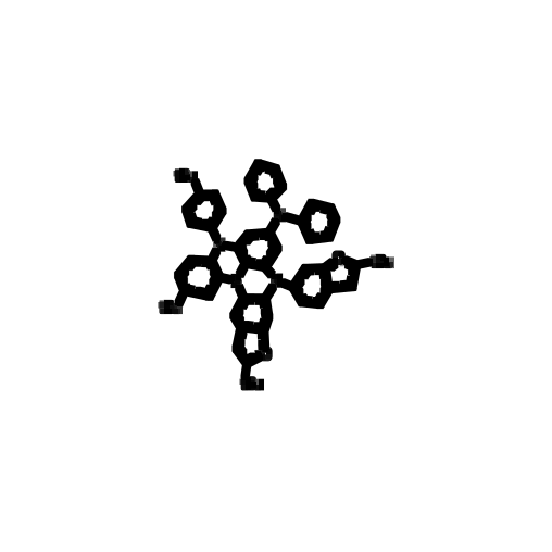 CC(C)(C)c1ccc(N2c3ccc(C(C)(C)C)cc3B3c4cc5cc(C(C)(C)C)oc5cc4N(c4ccc5cc(C(C)(C)C)oc5c4)c4cc(N(c5ccccc5)c5ccccc5)cc2c43)cc1